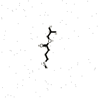 CSCCCC(=O)OCC(C)C